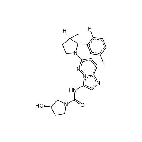 O=C(Nc1cnc2ccc(N3CC[C@H]4C[C@]43c3cc(F)ccc3F)nn12)N1CC[C@@H](O)C1